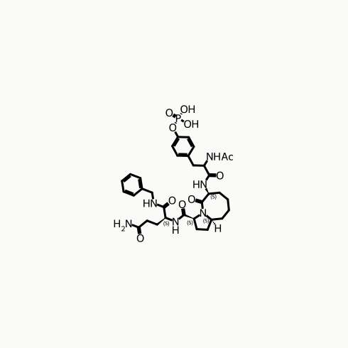 CC(=O)NC(Cc1ccc(OP(=O)(O)O)cc1)C(=O)N[C@H]1CCCC[C@H]2CC[C@@H](C(=O)N[C@@H](CCC(N)=O)C(=O)NCc3ccccc3)N2C1=O